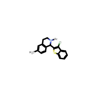 CC(=O)N1CCc2cc(C)ccc2C1c1sc2ccccc2c1Cl